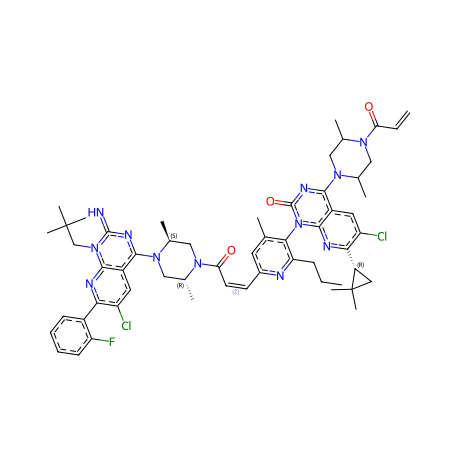 C=CC(=O)N1CC(C)N(c2nc(=O)n(-c3c(C)cc(/C=C\C(=O)N4C[C@H](C)N(c5nc(=N)n(CC(C)(C)C)c6nc(-c7ccccc7F)c(Cl)cc56)C[C@H]4C)nc3CCC)c3nc([C@@H]4CC4(C)C)c(Cl)cc23)CC1C